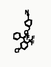 N#Cc1ccc(CO/N=C(\c2ccccc2)c2cc(Cl)ccc2C(F)(F)F)cc1